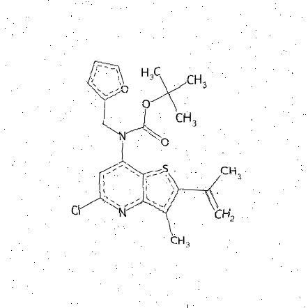 C=C(C)c1sc2c(N(Cc3ccco3)C(=O)OC(C)(C)C)cc(Cl)nc2c1C